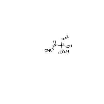 C=CC(O)(N[C]=O)C(=O)O